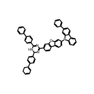 C1=CCCC(c2ccc(C3N=C(c4ccc5c(c4)oc4cc(-n6c7ccccc7c7ccc(-c8ccccc8)cc76)ccc45)N=C(c4ccc(-c5ccccc5)cc4)N3)cc2)=C1